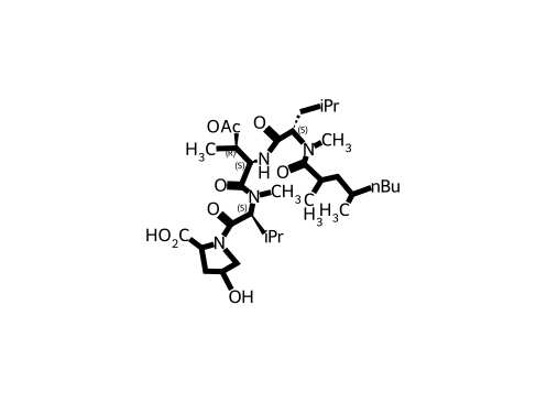 CCCCC(C)CC(C)C(=O)N(C)[C@@H](CC(C)C)C(=O)N[C@H](C(=O)N(C)[C@H](C(=O)N1CC(O)CC1C(=O)O)C(C)C)[C@@H](C)OC(C)=O